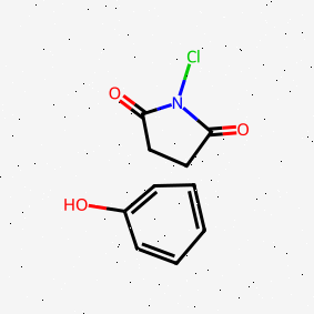 O=C1CCC(=O)N1Cl.Oc1ccccc1